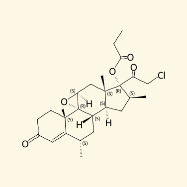 CCC(=O)O[C@]1(C(=O)CCl)[C@@H](C)C[C@H]2[C@@H]3C[C@H](C)C4=CC(=O)CC[C@]4(C)[C@]34O[C@H]4C[C@@]21C